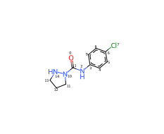 O=C(Nc1ccc(Cl)cc1)N1CCCN1